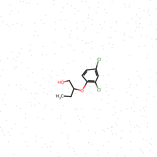 CCC(CO)Oc1ccc(Cl)cc1Cl